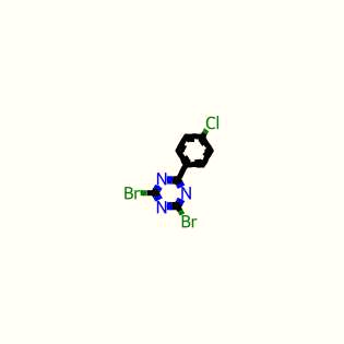 Clc1ccc(-c2nc(Br)nc(Br)n2)cc1